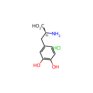 Cl.N[C@@H](Cc1ccc(O)c(O)c1)C(=O)O